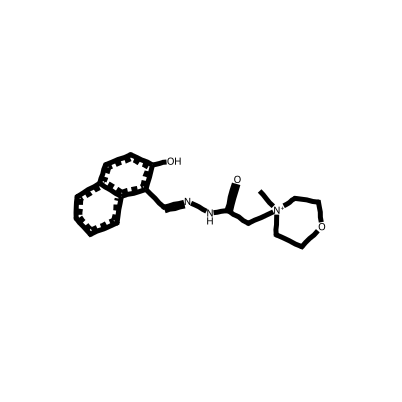 C[N+]1(CC(=O)NN=Cc2c(O)ccc3ccccc23)CCOCC1